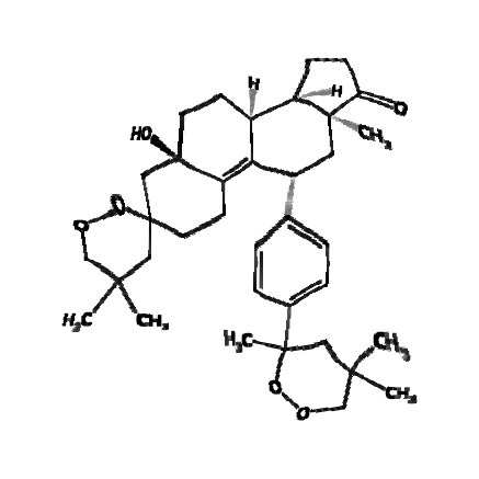 CC1(C)COOC2(CCC3=C4[C@@H](CC[C@@]3(O)C2)[C@H]2CCC(=O)[C@@]2(C)C[C@@H]4c2ccc(C3(C)CC(C)(C)COO3)cc2)C1